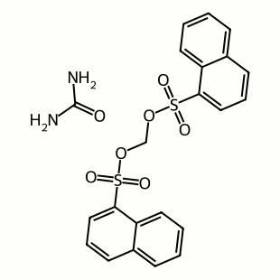 NC(N)=O.O=S(=O)(OCOS(=O)(=O)c1cccc2ccccc12)c1cccc2ccccc12